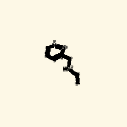 CCNCc1cccnn1